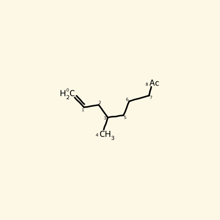 C=CCC(C)CCCC(C)=O